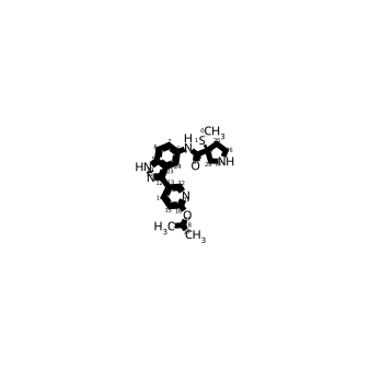 CS[C@@]1(C(=O)Nc2ccc3[nH]nc(-c4ccc(OC(C)C)nc4)c3c2)CCNC1